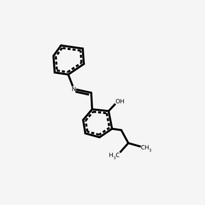 CC(C)Cc1cccc(/C=N/c2ccccc2)c1O